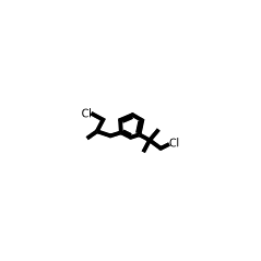 CC(CCl)Cc1cccc(C(C)(C)CCl)c1